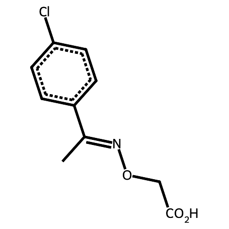 CC(=NOCC(=O)O)c1ccc(Cl)cc1